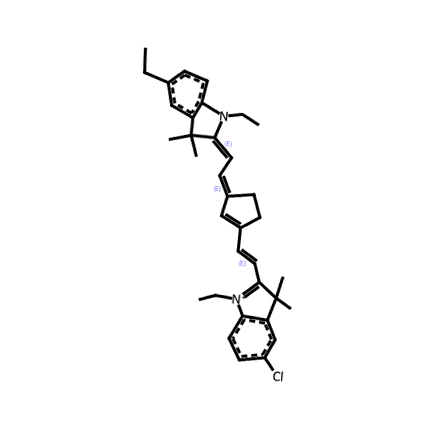 CCc1ccc2c(c1)C(C)(C)/C(=C\C=C1C=C(/C=C/C3=[N+](CC)c4ccc(Cl)cc4C3(C)C)CC\1)N2CC